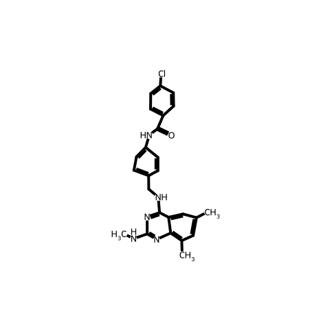 CNc1nc(NCc2ccc(NC(=O)c3ccc(Cl)cc3)cc2)c2cc(C)cc(C)c2n1